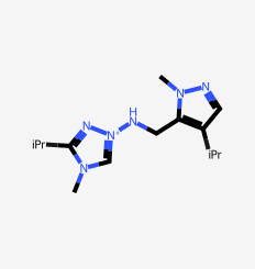 CC(C)c1cnn(C)c1CN[n+]1cn(C)c(C(C)C)n1